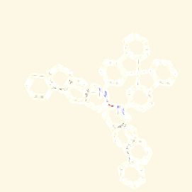 C1=CCC(c2ccc(N(c3ccc(-c4ccccc4)cc3)c3ccc4c(c3)C3(c5ccccc5-c5ccc(N(c6ccc(-c7ccccc7)cc6)c6ccc(-c7ccccc7)cc6)cc53)c3ccccc3-4)cc2)C=C1